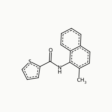 Cc1ccc2ccccc2c1NC(=O)c1cccs1